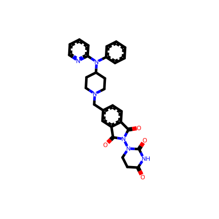 O=C1CCN(N2C(=O)c3ccc(CN4CCC(N(c5ccccc5)c5ccccn5)CC4)cc3C2=O)C(=O)N1